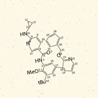 COc1c(NC(=O)c2ccc(NC3CC3)nc2)cc(-c2cccnc2OCc2ccccc2)cc1C(C)(C)C